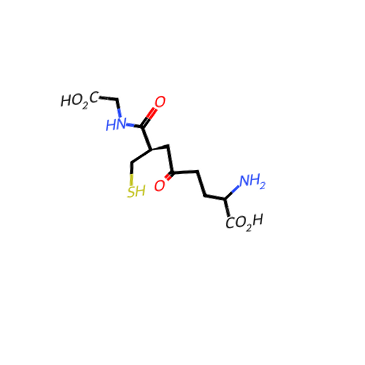 NC(CCC(=O)C[C@@H](CS)C(=O)NCC(=O)O)C(=O)O